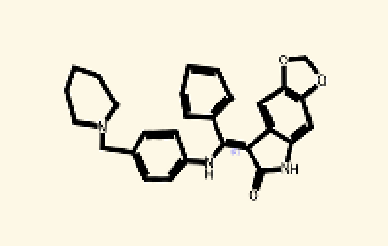 O=C1Nc2cc3c(cc2/C1=C(/Nc1ccc(CN2CCCCC2)cc1)c1ccccc1)OCO3